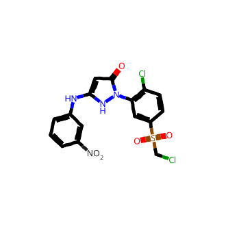 O=c1cc(Nc2cccc([N+](=O)[O-])c2)[nH]n1-c1cc(S(=O)(=O)CCl)ccc1Cl